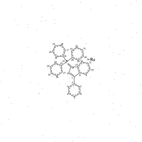 C1=C(c2ccccc2)c2ccccc2C1=P(c1ccccc1)(c1ccccc1)c1ccccc1.[Ru]